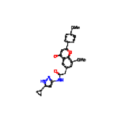 COc1ccc(-c2cc(=O)c3cc(CC(=O)Nc4cc(C5CC5)[nH]n4)cc(OC)c3o2)cc1